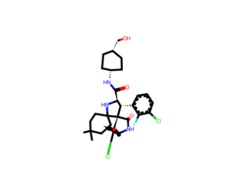 CC1(C)CCC2(CC1)N[C@@H](C(=O)N[C@H]1CC[C@@H](CO)CC1)[C@H](c1cccc(Cl)c1F)[C@]21C(=O)Nc2cc(Cl)ccc21